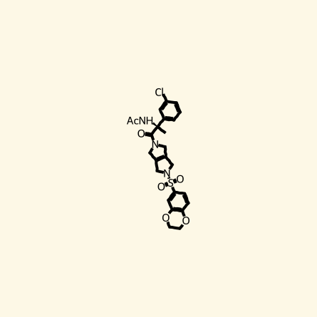 CC(=O)N[C@@](C)(C(=O)N1CC2=C(C1)CN(S(=O)(=O)c1ccc3c(c1)OCCO3)C2)c1cccc(Cl)c1